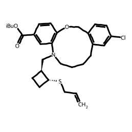 C=CCS[C@@H]1CC[C@H]1CN1CCCCc2cc(Cl)ccc2COc2ccc(C(=O)OCC(C)C)cc21